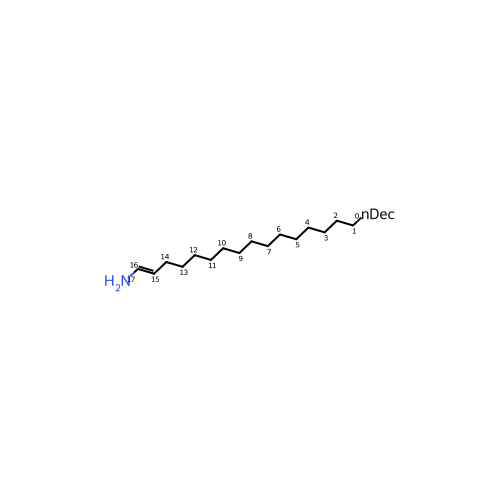 CCCCCCCCCCCCCCCCCCCCCCCC/C=C/N